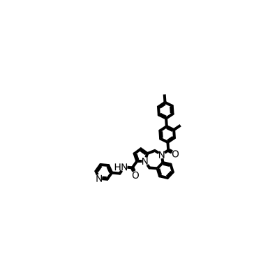 Cc1ccc(-c2ccc(C(=O)N3Cc4ccc(C(=O)NCc5cccnc5)n4Cc4ccccc43)cc2C)cc1